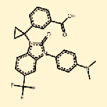 CN(C)c1ccc(-n2c(=O)n(C3(c4cccc(C(=O)O)c4)CC3)c3ccc(C(F)(F)F)cc32)cc1